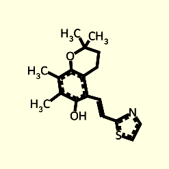 Cc1c(C)c2c(c(C=Cc3nccs3)c1O)CCC(C)(C)O2